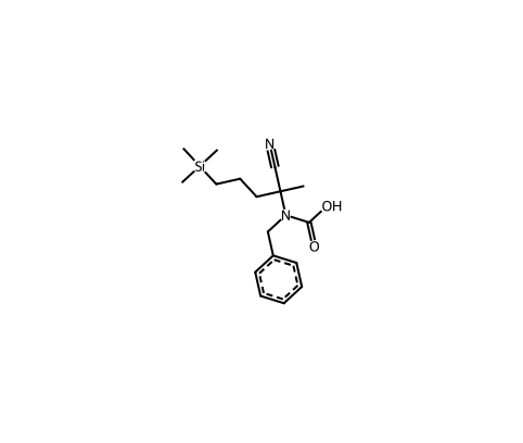 CC(C#N)(CCC[Si](C)(C)C)N(Cc1ccccc1)C(=O)O